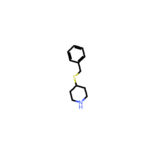 c1ccc(CSC2CCNCC2)cc1